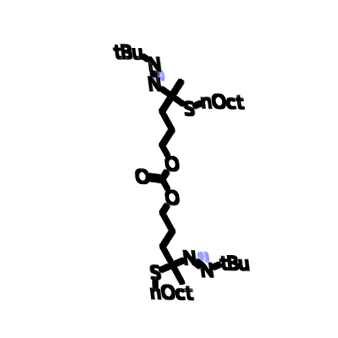 CCCCCCCCSC(C)(CCCOC(=O)OCCCC(C)(/N=N/C(C)(C)C)SCCCCCCCC)/N=N/C(C)(C)C